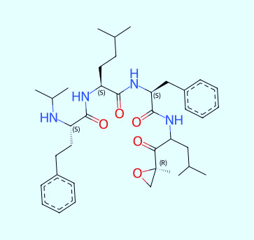 CC(C)CC[C@H](NC(=O)[C@H](CCc1ccccc1)NC(C)C)C(=O)N[C@@H](Cc1ccccc1)C(=O)NC(CC(C)C)C(=O)[C@@]1(C)CO1